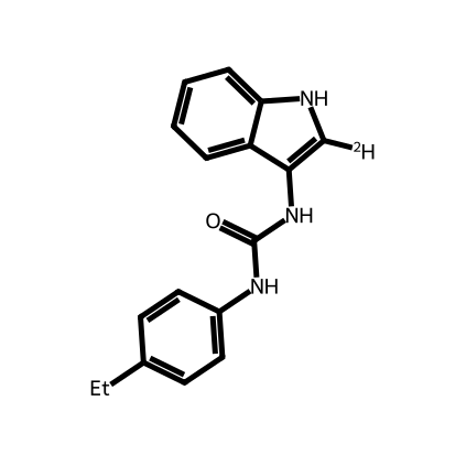 [2H]c1[nH]c2ccccc2c1NC(=O)Nc1ccc(CC)cc1